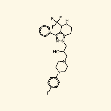 OC(CN1CCN(c2ccc(F)cc2)CC1)Cn1nc(-c2ccccc2)c2c1CCNC2C(F)(F)F